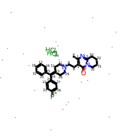 Cc1nc2n(c(=O)c1CCN1CCC(=C(c3ccccc3)c3ccc(F)cc3)CC1)CCCC2.Cl.Cl